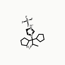 CC(P)C(C1CCCC1)(C1CCCC1)n1cc[nH+]c1.F[B-](F)(F)F